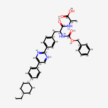 CC[C@H]1CC[C@H](c2ccc(-c3cnc(-c4ccc(C[C@H](NC(=O)OCc5ccccc5)C(=O)NC(C)C(=O)O)cc4)nc3)cc2)CC1